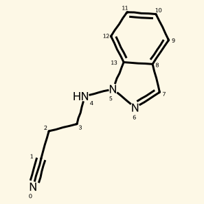 N#CCCNn1ncc2ccccc21